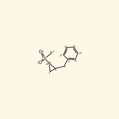 O=S(=O)(F)N1CC1Cc1ccccc1